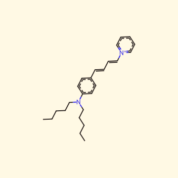 CCCCCN(CCCCC)c1ccc(C=CC=C[n+]2ccccc2)cc1